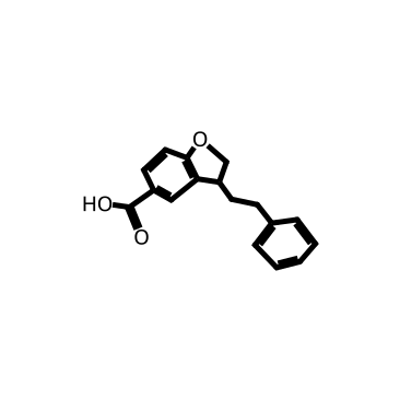 O=C(O)c1ccc2c(c1)C(CCc1ccccc1)CO2